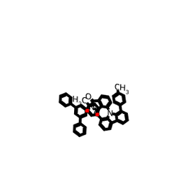 Cc1ccc(-c2cccc3c4cccc(-c5ccc(C)cc5)c4n(-c4cccc5c4C(=O)N(c4cc(-c6ccccc6)cc(-c6ccccc6)c4)C5=O)c23)cc1